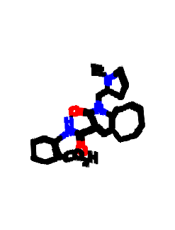 CCN1CCCC1Cn1c2c(cc(C(=O)NC3CCCCC3C(=O)O)c1=O)CCCCCC2